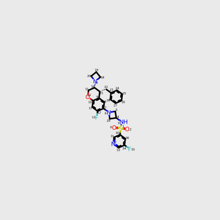 O=S(=O)(NC1CN(c2cc3c(cc2F)OC[C@H](N2CCC2)[C@@H]3Cc2ccccc2)C1)c1cncc(F)c1